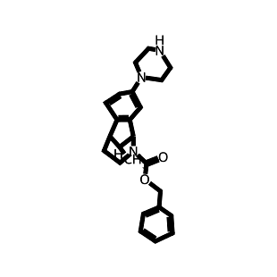 C[C@H]1C2CCN(C(=O)OCc3ccccc3)C1c1cc(N3CCNCC3)ccc12